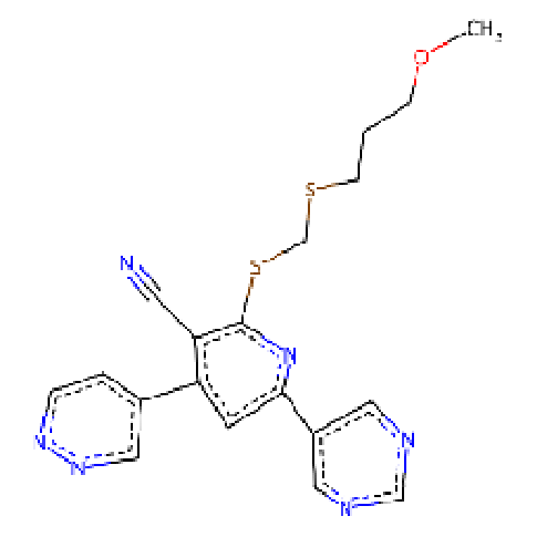 COCCCSCSc1nc(-c2cncnc2)cc(-c2ccnnc2)c1C#N